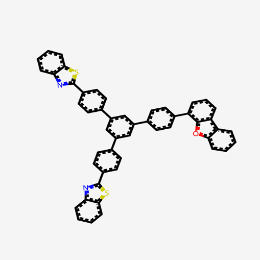 c1ccc2sc(-c3ccc(-c4cc(-c5ccc(-c6nc7ccccc7s6)cc5)cc(-c5ccc(-c6cccc7c6oc6ccccc67)cc5)c4)cc3)nc2c1